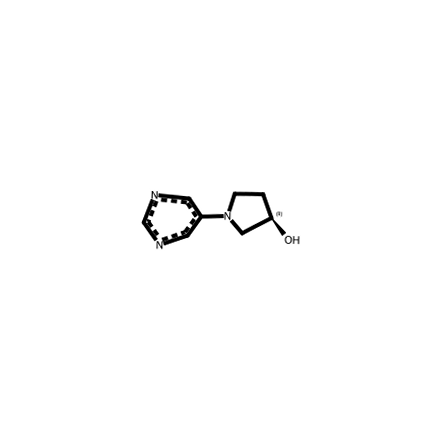 O[C@@H]1CCN(c2cncnc2)C1